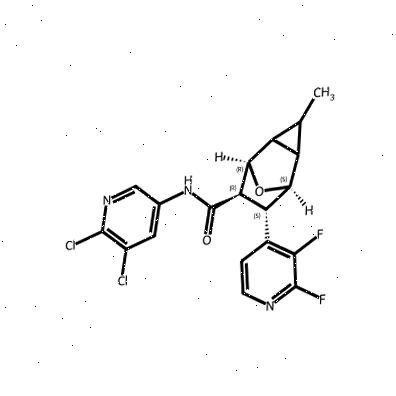 CC1C2C1[C@@H]1O[C@H]2[C@H](C(=O)Nc2cnc(Cl)c(Cl)c2)[C@H]1c1ccnc(F)c1F